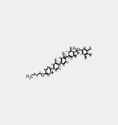 CCCCOc1cnc(-c2ccc(-c3ccc(-c4cc(F)c(C(F)(F)Oc5cc(F)c(F)c(F)c5)c(F)c4)c(F)c3)c(F)c2)nc1